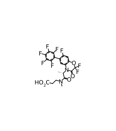 C[C@@H](C(=O)N(C)CCC(=O)O)N1C(=O)C(F)(F)Oc2cc(F)c(-c3c(F)c(F)c(F)c(F)c3F)cc21